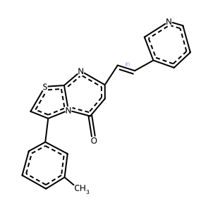 Cc1cccc(-c2csc3nc(/C=C/c4cccnc4)cc(=O)n23)c1